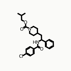 CC(C)COC(=O)N1CCC(CC(NC(=O)c2ccc(Cl)cc2)c2ccccc2)CC1